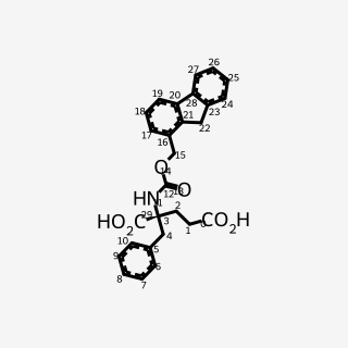 O=C(O)CC[C@](Cc1ccccc1)(NC(=O)OCc1cccc2c1Cc1ccccc1-2)C(=O)O